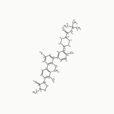 COc1c(-c2ccc(N3CCN(C)C3=O)c(Cl)c2)cc(F)cc1-c1cnc(Cl)c(N2CCN(C(=O)OC(C)(C)C)CC2)c1